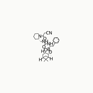 CC1(C)[C@@H]2C[C@H]3OB([C@H](Cc4ccccc4)NC(=O)NC[C@@H]4CCCCN4C(=O)CC#N)O[C@@]3(C)[C@H]1C2